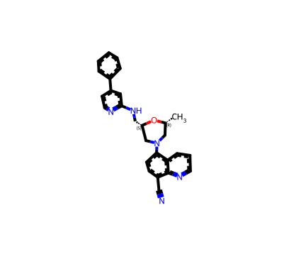 C[C@@H]1CN(c2ccc(C#N)c3ncccc23)C[C@H](CNc2cc(-c3ccccc3)ccn2)O1